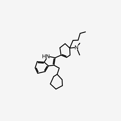 CCCCC1(N(C)C)CC=C(c2[nH]c3ccccc3c2CC2CCCCC2)CC1